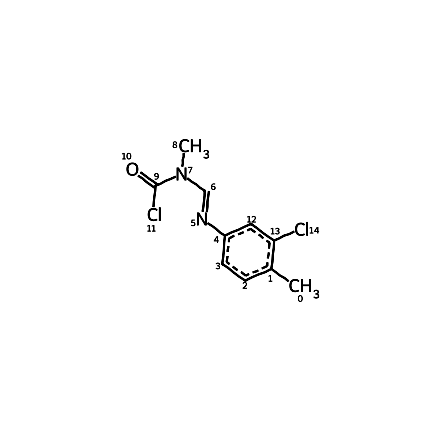 Cc1ccc(N=CN(C)C(=O)Cl)cc1Cl